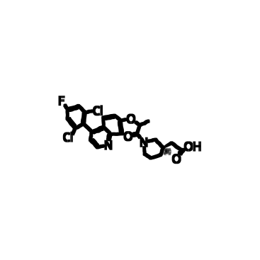 CC(Oc1ccc2c(-c3c(Cl)cc(F)cc3Cl)ccnc2c1)C(=O)N1CCC[C@H](CC(=O)O)C1